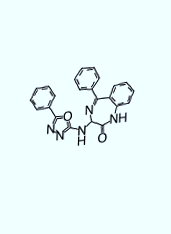 O=C1Nc2ccccc2C(c2ccccc2)=NC1Nc1nnc(-c2ccccc2)o1